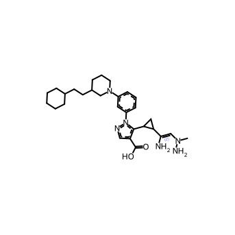 CN(N)/C=C(\N)C1CC1c1c(C(=O)O)cnn1-c1cccc(N2CCCC(CCC3CCCCC3)C2)c1